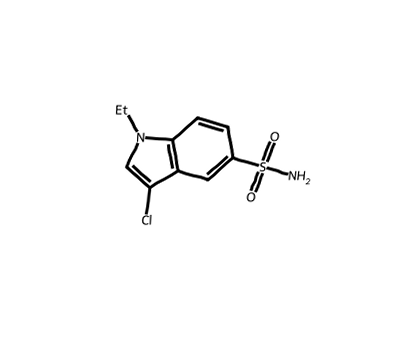 CCn1cc(Cl)c2cc(S(N)(=O)=O)ccc21